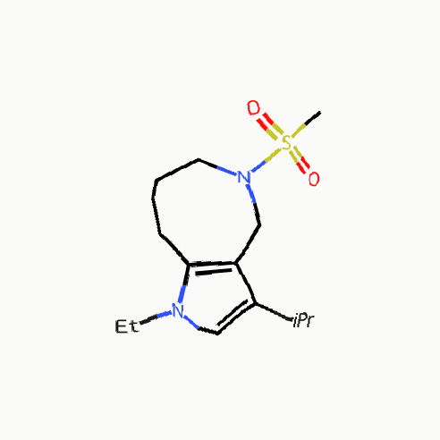 CCn1cc(C(C)C)c2c1CCCN(S(C)(=O)=O)C2